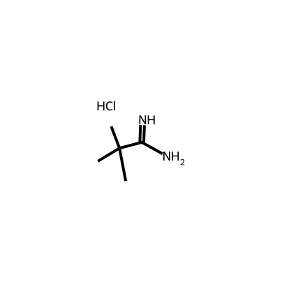 CC(C)(C)C(=N)N.Cl